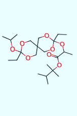 CCC1(OC(C)C)OCC2(CO1)COC(CC)(OC(C)C(=O)OC(C)(C)C(C)C)OC2